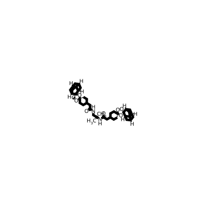 CC(C)(CNC(=O)CC1CC[C@]2(CC1)OO[C@]1(O2)[C@H]2C[C@@H]3C[C@H](C2)C[C@H]1C3)NC(=O)CC1CC[C@]2(CC1)OO[C@]1(O2)[C@H]2C[C@@H]3C[C@H](C2)C[C@H]1C3